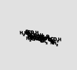 Cc1cc(Cc2cc(C)c(NC(=O)c3cc(C(=O)O)c(C(N)=O)cc3C(=O)O)c(C)c2)cc(C)c1NC(=O)c1ccc(C(=O)c2ccc(C(N)=O)c(C(=O)O)c2)cc1C(=O)O